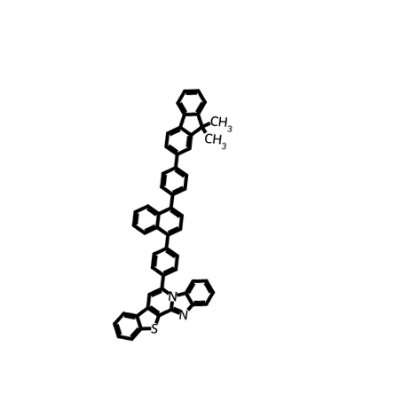 CC1(C)c2ccccc2-c2ccc(-c3ccc(-c4ccc(-c5ccc(-c6cc7c8ccccc8sc7c7nc8ccccc8n67)cc5)c5ccccc45)cc3)cc21